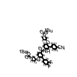 CC(C)(C)OC(=O)N1CC[C@H](Oc2ccc(NC(=O)c3ccc(O[C@H]4CCN(C(=O)OC(C)(C)C)C4)c(-c4ccc(F)c(F)c4)c3)cc2-c2ccc(C#N)cc2)C1